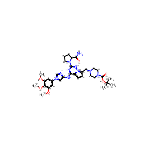 COc1cc(-n2cnc(Nc3nc(N4CCCC4C(N)=O)nn4c(CN5CCN(C(=O)OC(C)(C)C)CC5)ccc34)c2)cc(OC)c1OC